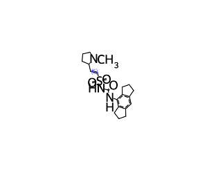 CN1CCCC1/C=C/S(=O)(=O)NC(=O)Nc1c2c(cc3c1CCC3)CCC2